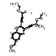 CCOC(C)C#Cc1nc2ccc(COC)cc2nc1C#CC(C)OCC